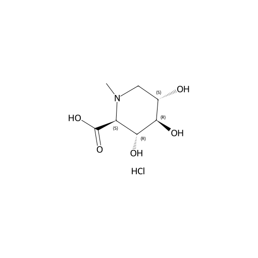 CN1C[C@H](O)[C@@H](O)[C@H](O)[C@H]1C(=O)O.Cl